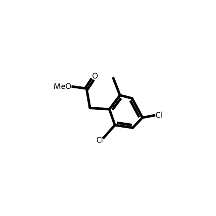 COC(=O)Cc1c(C)cc(Cl)cc1Cl